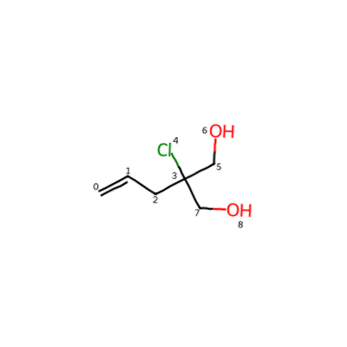 C=CCC(Cl)(CO)CO